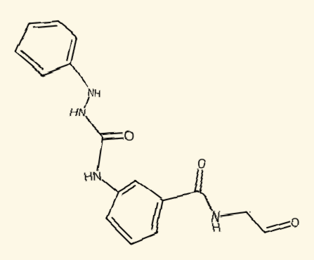 O=C[CH]NC(=O)c1cccc(NC(=O)NNc2ccccc2)c1